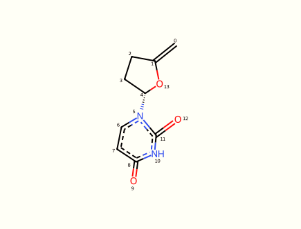 C=C1CC[C@@H](n2ccc(=O)[nH]c2=O)O1